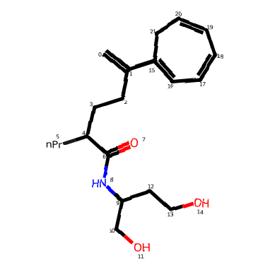 C=C(CCC(CCC)C(=O)NC(CO)CCO)C1=CC=CC=CC1